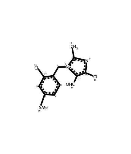 CSc1ccc(Cn2c(C)nc(Cl)c2C=O)c(Cl)c1